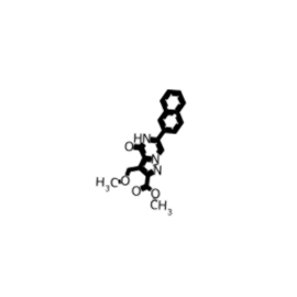 COCc1c(C(=O)OC)nn2cc(-c3ccc4ccccc4c3)[nH]c(=O)c12